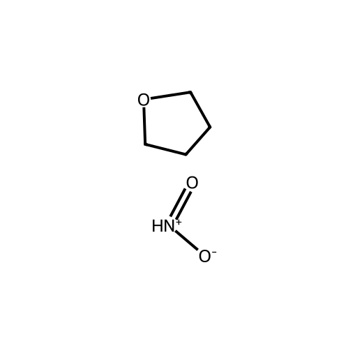 C1CCOC1.O=[NH+][O-]